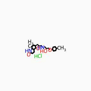 Cc1ccc(OCC(O)CNCC2Cc3cc(C)c4[nH]c(=O)ccc4c3O2)cc1.Cl